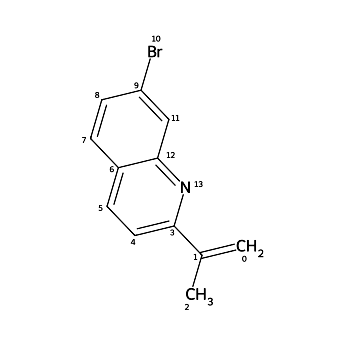 C=C(C)c1ccc2ccc(Br)cc2n1